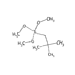 C[O][Ti]([CH2]C(C)(C)C)([O]C)[O]C